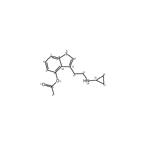 CC(=O)Oc1cccc2scc(CCNC3CC3)c12